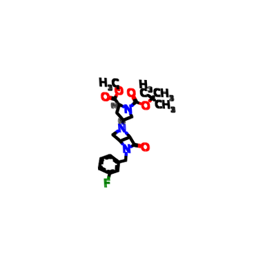 COC(=O)[C@@H]1C[C@H](N2CC3C2C(=O)N3Cc2cccc(F)c2)CN1C(=O)OC(C)(C)C